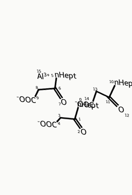 CCCCCCCC(=O)CC(=O)[O-].CCCCCCCC(=O)CC(=O)[O-].CCCCCCCC(=O)CC(=O)[O-].[Al+3]